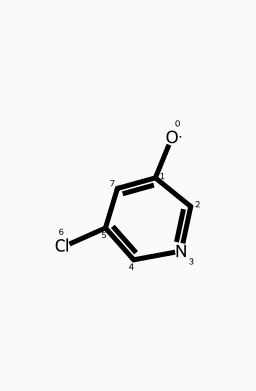 [O]c1cncc(Cl)c1